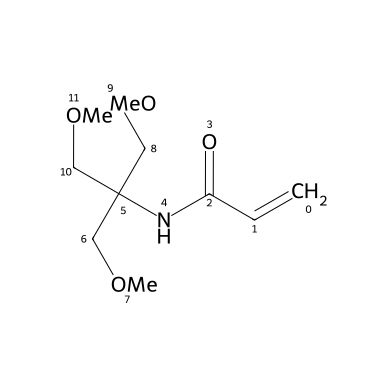 C=CC(=O)NC(COC)(COC)COC